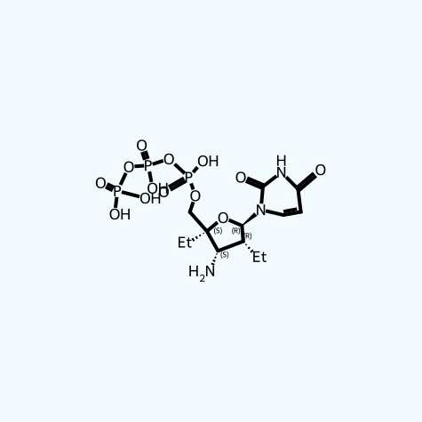 CC[C@H]1[C@H](n2ccc(=O)[nH]c2=O)O[C@](CC)(COP(=O)(O)OP(=O)(O)OP(=O)(O)O)[C@H]1N